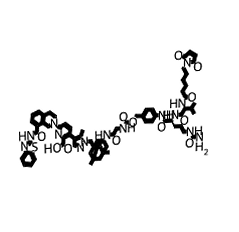 Cc1c(-c2ccc(N3CCc4cccc(C(=O)Nc5nc6ccccc6s5)c4C3)nc2C(=O)O)cnn1CC12CC3(C)CC(C)(C1)CC(NC(=O)CNC(=O)OCc1ccc(NC(=O)[C@H](CCCNC(N)=O)NC(=O)[C@@H](NC(=O)CCCCCN4C(=O)C=CC4=O)C(C)C)cc1)(C3)C2